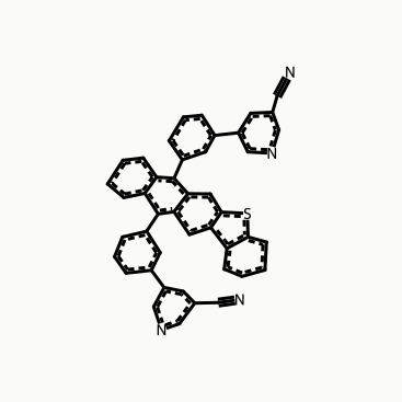 N#Cc1cncc(-c2cccc(-c3c4ccccc4c(-c4cccc(-c5cncc(C#N)c5)c4)c4cc5c(cc34)sc3ccccc35)c2)c1